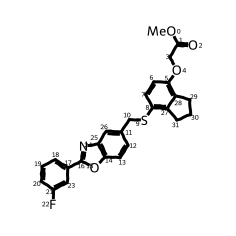 COC(=O)COc1ccc(SCc2ccc3oc(-c4cccc(F)c4)nc3c2)c2c1CCC2